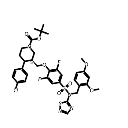 COc1ccc(CN(c2ncns2)S(=O)(=O)c2cc(F)c(OC[C@@H]3CN(C(=O)OC(C)(C)C)CCC3c3ccc(Cl)cc3)c(F)c2)c(OC)c1